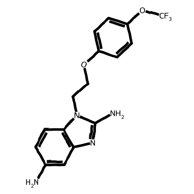 Nc1ccc2c(c1)nc(N)n2CCOc1ccc(OC(F)(F)F)cc1